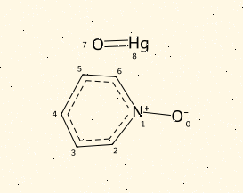 [O-][n+]1ccccc1.[O]=[Hg]